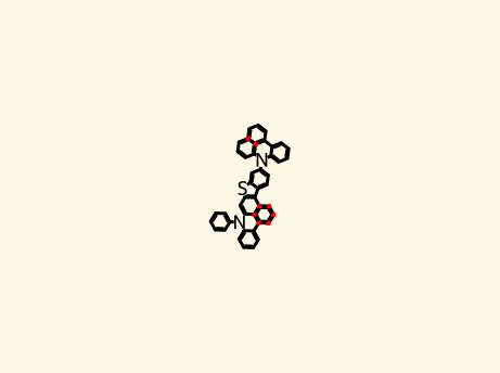 c1ccc(-c2ccccc2N(c2ccccc2)c2ccc3c(c2)sc2cc(N(c4ccccc4)c4ccccc4-c4ccccc4)c4ccccc4c23)cc1